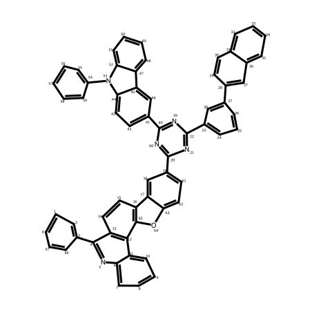 c1ccc(-c2nc3ccccc3c3c2ccc2c4cc(-c5nc(-c6cccc(-c7ccc8ccccc8c7)c6)nc(-c6ccc7c(c6)c6ccccc6n7-c6ccccc6)n5)ccc4oc23)cc1